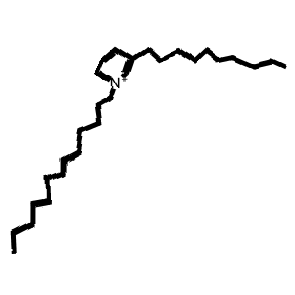 CCCCCCCCCCCCC[n+]1cccc(CCCCCCCCCC)c1